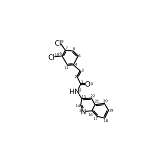 O=C(/C=C/c1ccc(Cl)c(Cl)c1)Nc1cnc2ccccc2c1